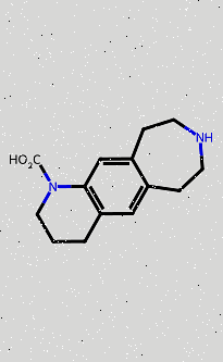 O=C(O)N1CCCc2cc3c(cc21)CCNCC3